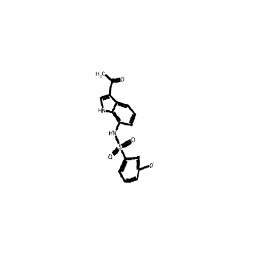 CC(=O)c1c[nH]c2c(NS(=O)(=O)c3cccc(Cl)c3)cccc12